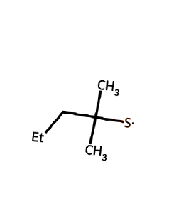 CCCC(C)(C)[S]